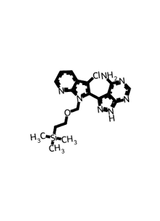 C[Si](C)(C)CCOCn1c(-c2n[nH]c3ncnc(N)c23)c(Cl)c2cccnc21